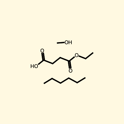 CCCCCC.CCOC(=O)CCC(=O)O.CO